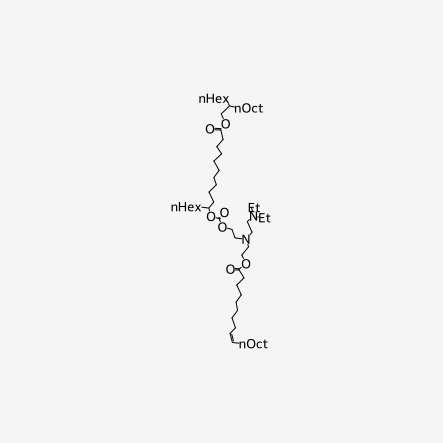 CCCCCCCC/C=C\CCCCCCCC(=O)OCCN(CCOC(=O)OC(CCCCCC)CCCCCCCCCC(=O)OCC(CCCCCC)CCCCCCCC)CCN(CC)CC